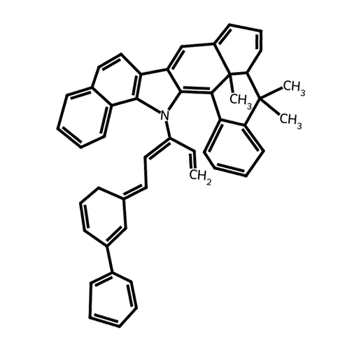 C=C/C(=C\C=C1\C=C(c2ccccc2)C=CC1)n1c2c(c3ccc4ccccc4c31)=CC1=CC=CC3C1(C)C=2c1ccccc1C3(C)C